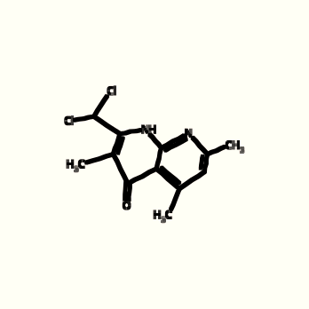 Cc1cc(C)c2c(=O)c(C)c(C(Cl)Cl)[nH]c2n1